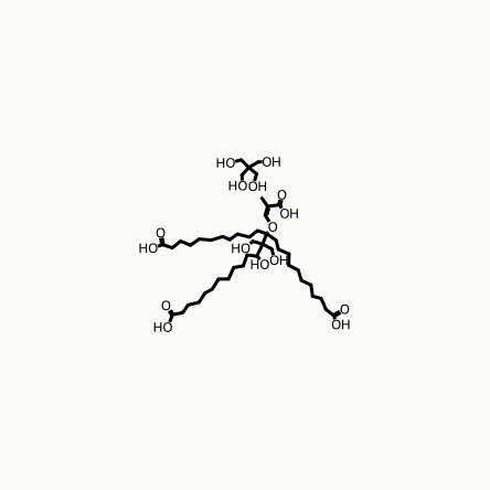 CC(=COC(CCCCCCCCCCC(=O)O)(CCCCCCCCCCC(=O)O)C(CO)(CO)C(O)CCCCCCCCCCC(=O)O)C(=O)O.OCC(CO)(CO)CO